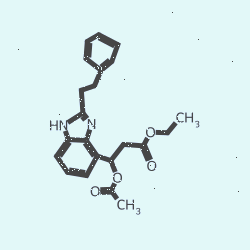 CCOC(=O)CC(OC(C)=O)c1cccc2[nH]c(CCc3ccccc3)nc12